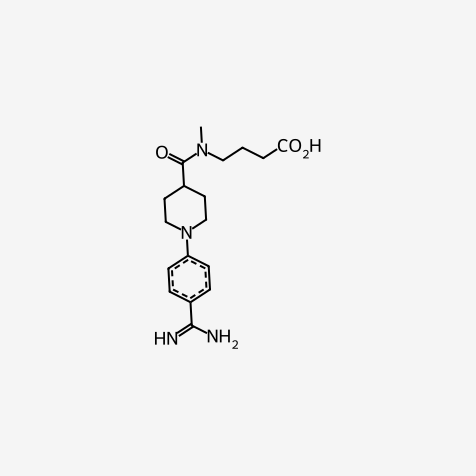 CN(CCCC(=O)O)C(=O)C1CCN(c2ccc(C(=N)N)cc2)CC1